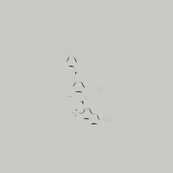 COc1cc(N=Nc2ccc(N)cc2)c(C)cc1N=Nc1c(S(=O)(=O)O)cc2ccc(N)cc2c1O.[Na]